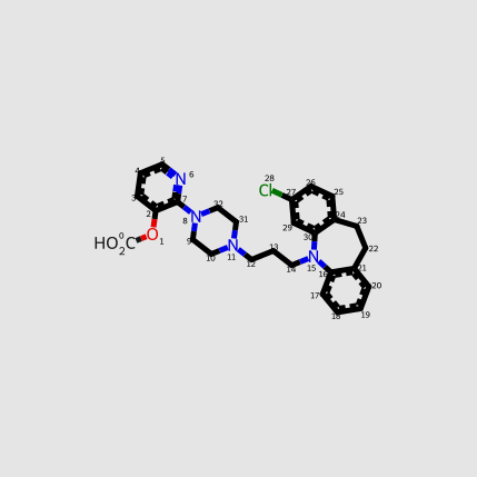 O=C(O)Oc1cccnc1N1CCN(CCCN2c3ccccc3CCc3ccc(Cl)cc32)CC1